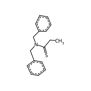 CCC(=S)N(Cc1ccccc1)Cc1ccccc1